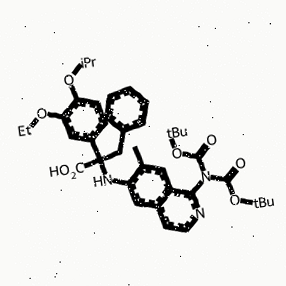 CCOc1cc(C(Cc2ccccc2)(Nc2cc3ccnc(N(C(=O)OC(C)(C)C)C(=O)OC(C)(C)C)c3cc2C)C(=O)O)ccc1OC(C)C